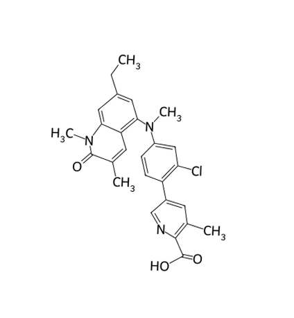 CCc1cc(N(C)c2ccc(-c3cnc(C(=O)O)c(C)c3)c(Cl)c2)c2cc(C)c(=O)n(C)c2c1